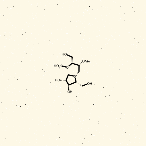 CO[C@H](C[S@@+]1C[C@@H](O)[C@H](O)[C@H]1CO)[C@H](CO)OS(=O)(=O)O